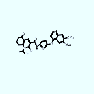 COc1cc2nccc(Oc3ccc(NC(=O)c4cc5c(n(C(C)C(C)C)c4=O)CCCC5=O)nc3)c2cc1OC